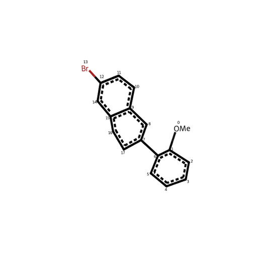 COc1ccccc1-c1[c]c2ccc(Br)cc2cc1